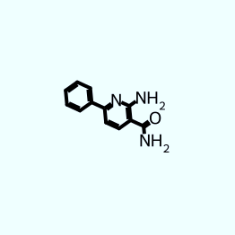 NC(=O)c1ccc(-c2ccccc2)nc1N